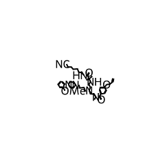 C#CCOc1ccc(C(=O)N(C)CCN(CCCCN2CCN(c3ccccc3OC)CC2)CCNC(C)(C)C(=O)NCCCCCCC#N)cc1